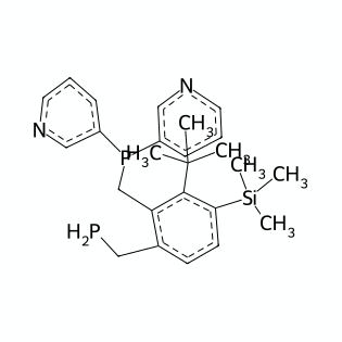 CC(C)(C)c1c([Si](C)(C)C)ccc(CP)c1CP(c1cccnc1)c1cccnc1